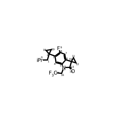 CC(C)CC1(c2cc3c(cc2F)C2(CC2)C(=O)N3CC(F)(F)F)CC1